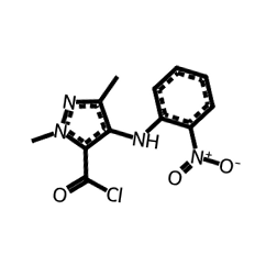 Cc1nn(C)c(C(=O)Cl)c1Nc1ccccc1[N+](=O)[O-]